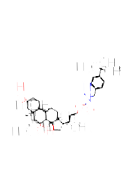 CC[C@H]1[C@@H](O)C2[C@@H]3CC[C@H]([C@H](C)CCOC(=O)NCc4ccc(C(C)(C)C)cc4)[C@@]3(C)CC[C@@H]2[C@@]2(C)CC[C@@H](O)C[C@@H]12